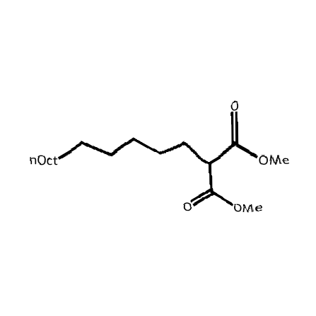 CCCCCCCCCCCCCC(C(=O)OC)C(=O)OC